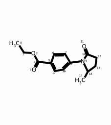 CCOC(=O)c1ccc(N2C(=O)CCC2C)cc1